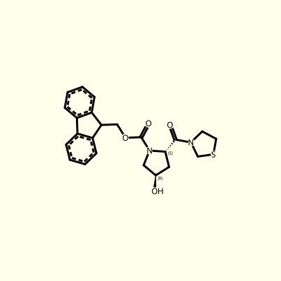 O=C([C@@H]1C[C@@H](O)CN1C(=O)OCC1c2ccccc2-c2ccccc21)N1CCSC1